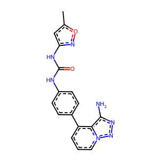 Cc1cc(NC(=O)Nc2ccc(-c3cccn4nnc(N)c34)cc2)no1